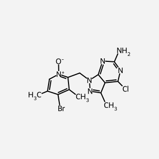 Cc1c[n+]([O-])c(Cn2nc(C)c3c(Cl)nc(N)nc32)c(C)c1Br